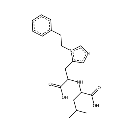 CC(C)CC(NC(Cc1cncn1CCc1ccccc1)C(=O)O)C(=O)O